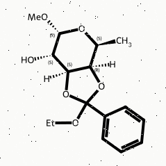 CCOC1(c2ccccc2)O[C@H]2[C@H](O)[C@H](OC)O[C@@H](C)[C@H]2O1